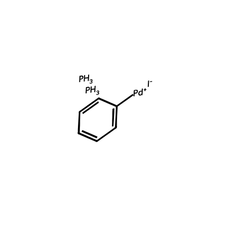 P.P.[I-].[Pd+][c]1ccccc1